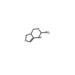 NC1NC2=COCC2CS1